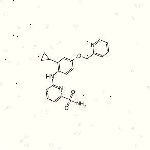 NS(=O)(=O)c1cccc(Nc2ccc(OCc3ccccn3)cc2C2CC2)n1